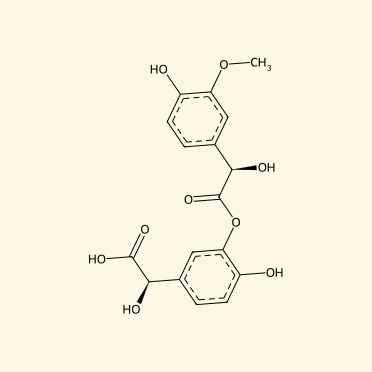 COc1cc([C@@H](O)C(=O)Oc2cc([C@@H](O)C(=O)O)ccc2O)ccc1O